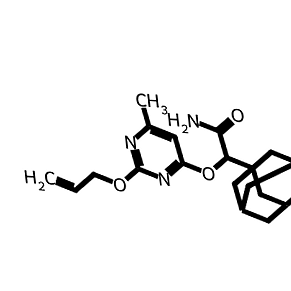 C=CCOc1nc(C)cc(OC(C(N)=O)C23CC4CC(CC(C4)C2)C3)n1